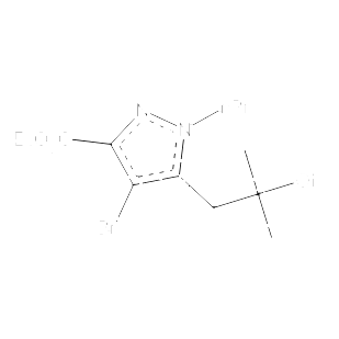 CCCn1nc(C(=O)OCC)c(Br)c1CC(C)(C)O